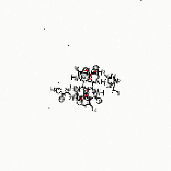 CCn1cc(C[C@H](NC(=O)[C@H](CC(=O)O)NC(=O)[C@@H](NC(=O)[C@H](CCC(=O)O)NC(=O)[C@H](CC(=O)O)NC(C)=O)C(C)C)C(N)=O)nn1